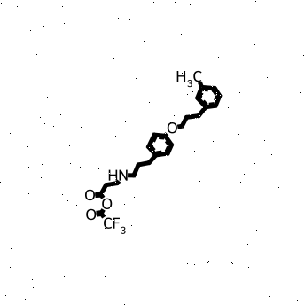 Cc1cccc(CCCOc2ccc(CCCNCCC(=O)OC(=O)C(F)(F)F)cc2)c1